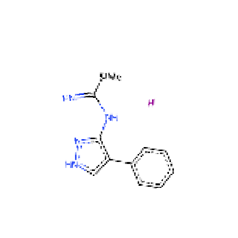 COC(=N)Nc1n[nH]cc1-c1ccccc1.I